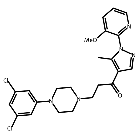 COc1cccnc1-n1ncc(C(=O)CCN2CCN(c3cc(Cl)cc(Cl)c3)CC2)c1C